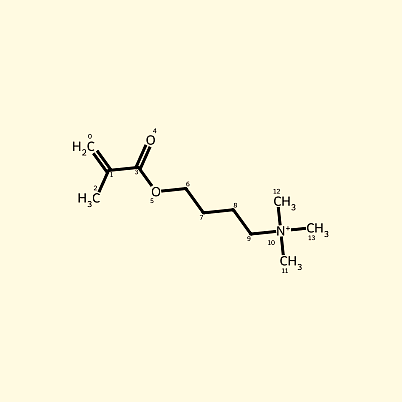 C=C(C)C(=O)OCCCC[N+](C)(C)C